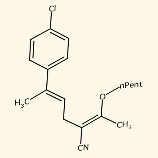 CCCCCOC(C)=C(C#N)CC=C(C)c1ccc(Cl)cc1